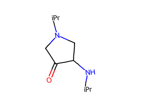 CC(C)NC1CN(C(C)C)CC1=O